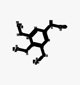 O=[C]Nc1cc(OC(F)(F)F)c(OC(F)(F)F)c(OC(F)(F)F)c1